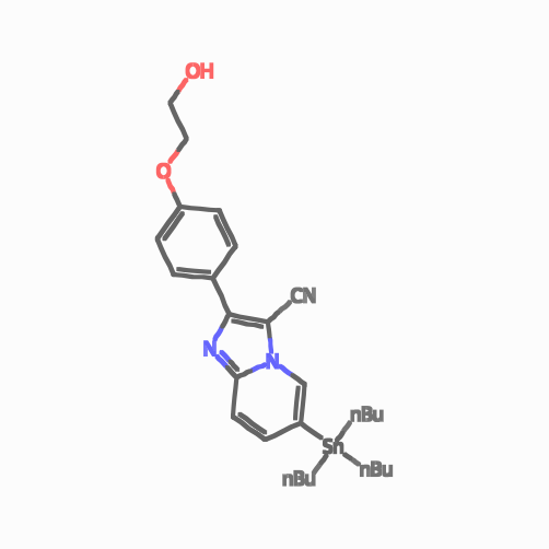 CCC[CH2][Sn]([CH2]CCC)([CH2]CCC)[c]1ccc2nc(-c3ccc(OCCO)cc3)c(C#N)n2c1